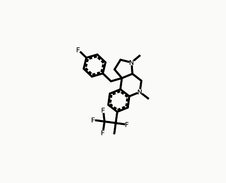 CN1CC2N(C)CCC2(Cc2ccc(F)cc2)c2ccc(C(C)(F)C(F)(F)F)cc21